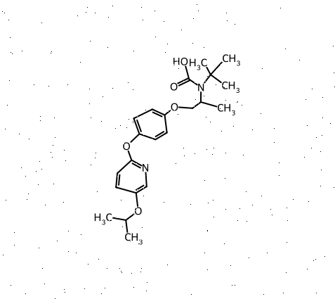 CC(C)Oc1ccc(Oc2ccc(OCC(C)N(C(=O)O)C(C)(C)C)cc2)nc1